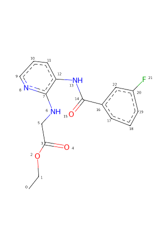 CCOC(=O)CNc1ncccc1NC(=O)c1cccc(F)c1